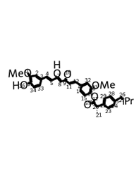 COc1cc(/C=C/C(O)=C/C(=O)/C=C/c2ccc(OC(=O)[C@@H](C)c3ccc(CC(C)C)cc3)c(OC)c2)ccc1O